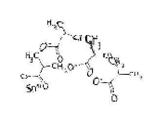 CC(C)C(=O)[O-].CC(C)C(=O)[O-].CC(C)C(=O)[O-].CC(C)C(=O)[O-].[Sn+4]